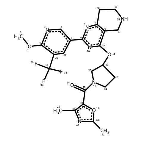 COc1ncc(-c2nc3c(c(OC4CCN(C(=O)c5oc(C)nc5C)C4)n2)CNCC3)cc1C(F)(F)F